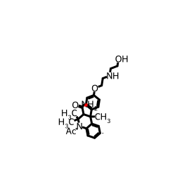 CC(=O)N1c2cc[c]cc2C(C)(c2ccc(OCCNCCO)cc2)C(C(N)=O)C1(C)C